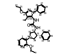 CCOc1ncccc1N1C[C@@H](NC(=O)Nc2c(C)c(OCC)nn2-c2ccccc2)[C@H](c2ccccc2)C1